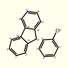 Clc1ccccc1.c1ccc2c(c1)Cc1ccccc1-2